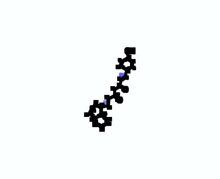 O=C(/C=C/c1ccc(O)cc1)CC(=O)/C=C/c1cccc2ncccc12